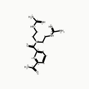 N=C(N)NCCN(CCNC(=N)N)C(=O)c1cccc(C(N)=O)n1